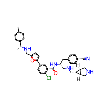 Cc1ccc([C@@H](C)NCc2ccc(-c3ccc(Cl)c(C(=O)N[C@@H](CNC[C@@H]4[C@H]5CNC[C@@H]45)Cc4ccc(C#N)cc4)c3)o2)cc1